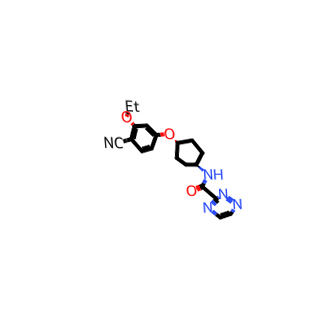 CCOc1cc(O[C@H]2CC[C@H](NC(=O)c3nccnn3)CC2)ccc1C#N